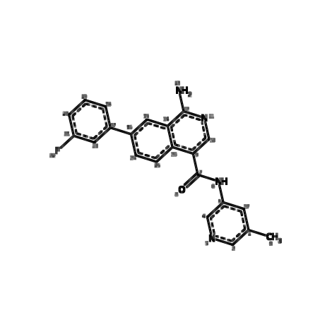 Cc1cncc(NC(=O)c2cnc(N)c3cc(-c4cccc(F)c4)ccc23)c1